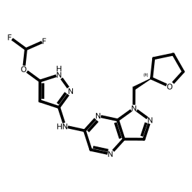 FC(F)Oc1cc(Nc2cnc3cnn(C[C@H]4CCCO4)c3n2)n[nH]1